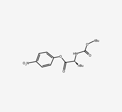 CCCC[C@H](NC(=O)OC(C)(C)C)C(=O)Oc1ccc([N+](=O)[O-])cc1